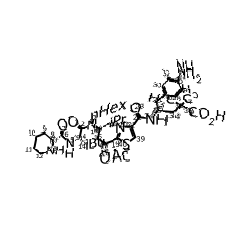 CCCCCCN(C(=O)[C@@H](NC(=O)[C@H]1CCCCN1)[C@@H](C)CC)[C@H](C[C@@H](OC(C)=O)c1nc(C(=O)N[C@@H](Cc2ccc(N)cc2)CC(C)(C)C(=O)O)cs1)C(C)C